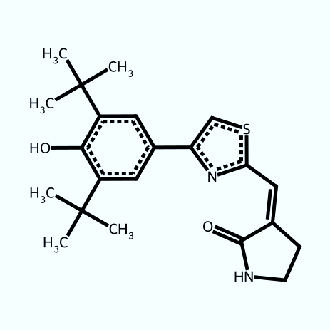 CC(C)(C)c1cc(-c2csc(C=C3CCNC3=O)n2)cc(C(C)(C)C)c1O